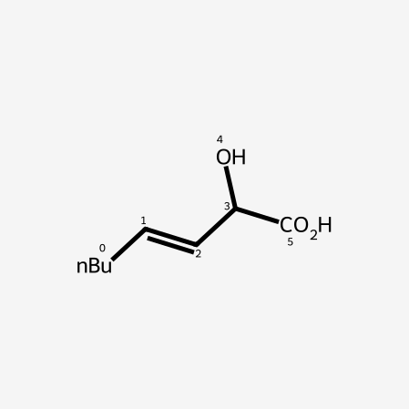 CCCCC=CC(O)C(=O)O